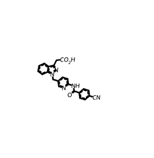 N#Cc1ccc(C(=O)Nc2ccc(Cn3nc(CC(=O)O)c4ccccc43)cn2)cc1